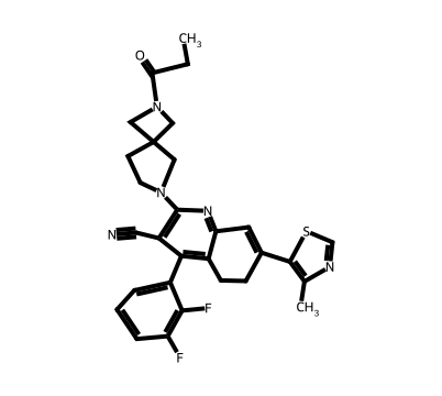 CCC(=O)N1CC2(CCN(c3nc4c(c(-c5cccc(F)c5F)c3C#N)CCC(c3scnc3C)=C4)C2)C1